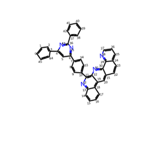 c1ccc(-c2cc(-c3ccc(-c4nc5ccccc5c5cc6ccc7cccnc7c6nc45)cc3)nc(-c3ccccc3)n2)cc1